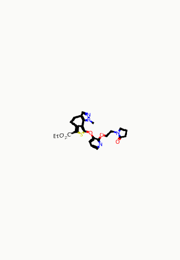 CCOC(=O)c1sc(Oc2cccnc2OCCN2CCCC2=O)c2c1CCc1cnn(C)c1-2